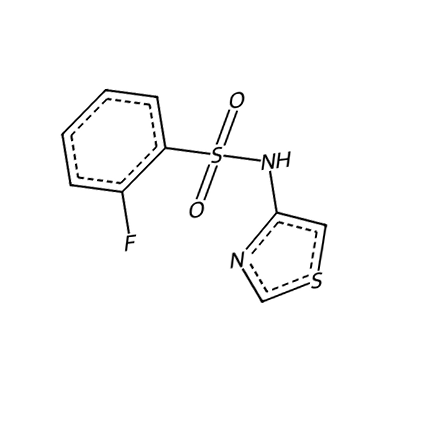 O=S(=O)(Nc1cscn1)c1ccccc1F